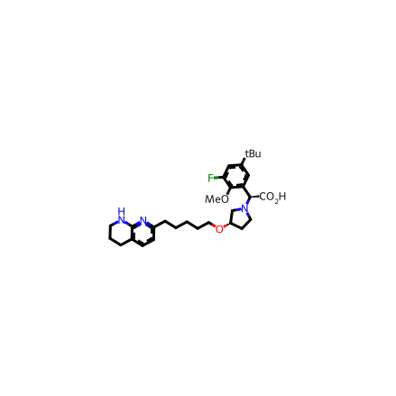 COc1c(F)cc(C(C)(C)C)cc1[C@@H](C(=O)O)N1CC[C@@H](OCCCCCc2ccc3c(n2)NCCC3)C1